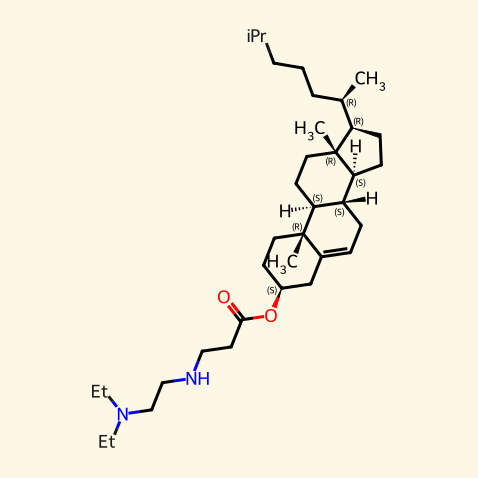 CCN(CC)CCNCCC(=O)O[C@H]1CC[C@@]2(C)C(=CC[C@H]3[C@@H]4CC[C@H]([C@H](C)CCCC(C)C)[C@@]4(C)CC[C@@H]32)C1